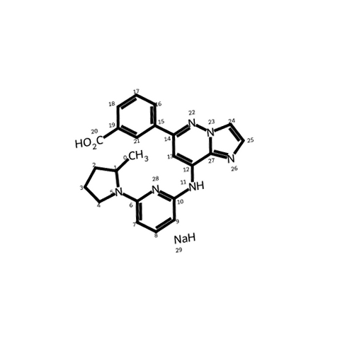 CC1CCCN1c1cccc(Nc2cc(-c3cccc(C(=O)O)c3)nn3ccnc23)n1.[NaH]